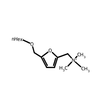 CCCCCCOCc1ccc(C[N+](C)(C)C)o1